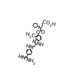 Cc1c(OC(=O)N(CCC(=O)O)C2CCCC2)ccc2[nH]c(CNc3ccc(C(=N)N)cc3)nc12